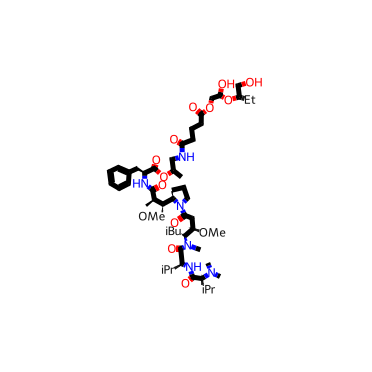 CCC(CO)OC(O)COC(=O)CCCC(=O)NCC(C)OC(=O)[C@H](Cc1ccccc1)NC(=O)[C@H](C)[C@@H](OC)[C@@H]1CCCN1C(=O)C[C@@H](OC)[C@H]([C@@H](C)CC)N(C)C(=O)[C@@H](NC(=O)[C@H](C(C)C)N(C)C)C(C)C